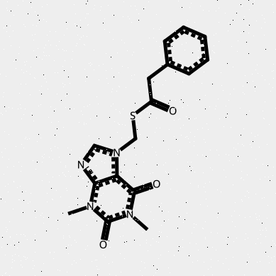 Cn1c(=O)c2c(ncn2CSC(=O)Cc2ccccc2)n(C)c1=O